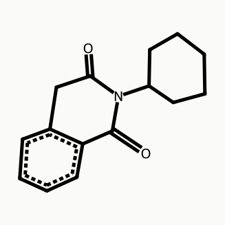 O=C1Cc2ccccc2C(=O)N1C1CCCCC1